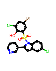 O=S(=O)(c1cc(Br)cc(Cl)c1O)n1c(-c2cccnc2)cc2cc(Cl)ccc21